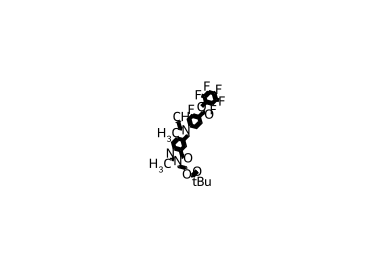 C#CCN(Cc1cc2c(=O)n(CCOC(=O)C(C)(C)C)c(C)nc2cc1C)c1ccc(C(=O)Oc2c(F)c(F)c(F)c(F)c2F)c(F)c1